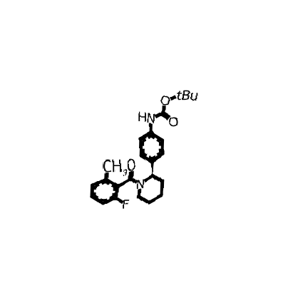 Cc1cccc(F)c1C(=O)N1CCCC[C@@H]1c1ccc(NC(=O)OC(C)(C)C)cc1